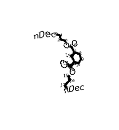 CCCCCCCCCCCCCOC(=O)C1CCCC(C(=O)OCCCCCCCCCCCCC)C1